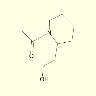 CC(=O)N1CCCCC1CCO